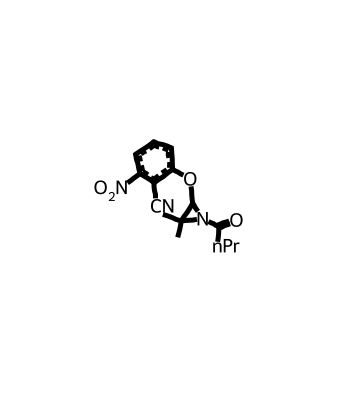 CCCC(=O)N1C(Oc2cccc([N+](=O)[O-])c2C#N)C1(C)C